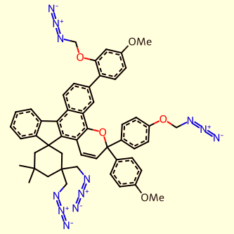 COc1ccc(C2(c3ccc(OCN=[N+]=[N-])cc3)C=Cc3c4c(c5ccc(-c6ccc(OC)cc6OCN=[N+]=[N-])cc5c3O2)-c2ccccc2C42CC(C)(C)CC(CN=[N+]=[N-])(CN=[N+]=[N-])C2)cc1